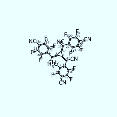 C/C(=C1\C(=C(C#N)c2c(C)c(F)c(C#N)c(F)c2F)\C1=C(\C#N)c1c(F)c(F)c(C#N)c(F)c1F)c1c(F)c(F)c(C#N)c(F)c1F